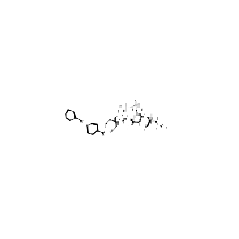 NN=NC1=C(Cl)NC(C(=O)NC2NC3(CCN(C(=O)c4ccc(OCc5ccccc5)cc4)CC3)CN2N)C(N=NN)N1